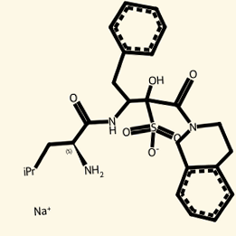 CC(C)C[C@H](N)C(=O)NC(Cc1ccccc1)C(O)(C(=O)N1CCc2ccccc2C1)S(=O)(=O)[O-].[Na+]